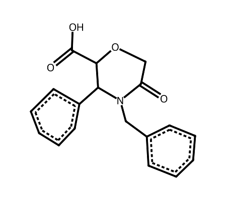 O=C(O)C1OCC(=O)N(Cc2ccccc2)C1c1ccccc1